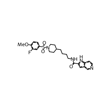 COc1ccc(S(=O)(=O)N2CCC(CCCCNC(=O)c3cc4cnccc4[nH]3)CC2)cc1F